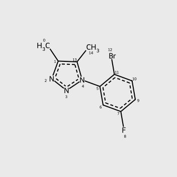 Cc1nnn(-c2cc(F)ccc2Br)c1C